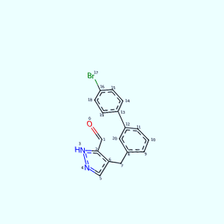 O=Cc1[nH]ncc1Cc1cccc(-c2ccc(Br)cc2)c1